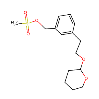 CS(=O)(=O)OCc1cccc(CCOC2CCCCO2)c1